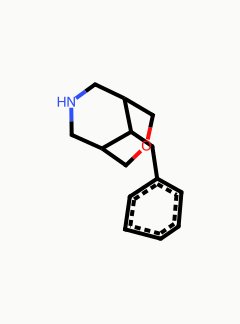 c1ccc(CC2C3CNCC2COC3)cc1